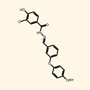 COc1ccc(Oc2cccc(/C=N/NC(=O)c3ccc(O)c(Cl)c3)c2)cc1